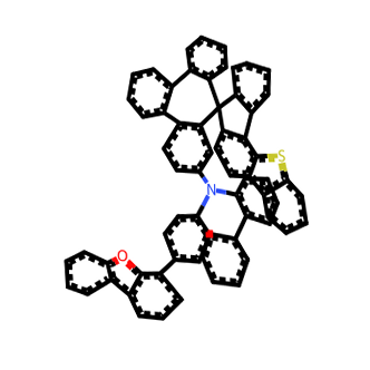 c1ccc(-c2ccccc2N(c2ccc(-c3cccc4c3oc3ccccc34)cc2)c2ccc3c(c2)C2(c4ccccc4-c4ccccc4-3)c3ccccc3-c3c2ccc2c3sc3ccccc32)cc1